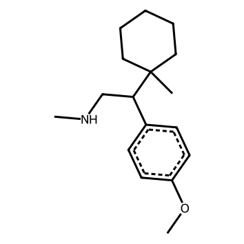 CNCC(c1ccc(OC)cc1)C1(C)CCCCC1